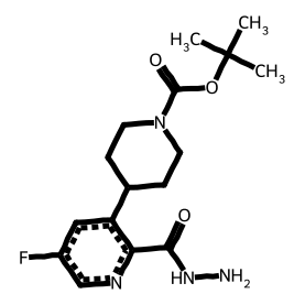 CC(C)(C)OC(=O)N1CCC(c2cc(F)cnc2C(=O)NN)CC1